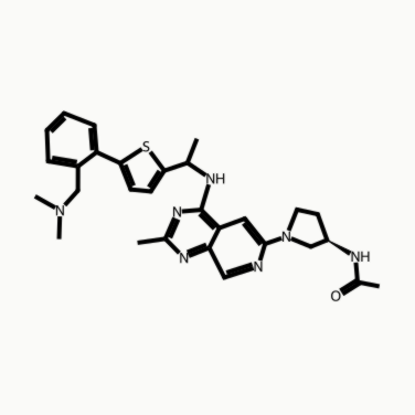 CC(=O)N[C@@H]1CCN(c2cc3c(NC(C)c4ccc(-c5ccccc5CN(C)C)s4)nc(C)nc3cn2)C1